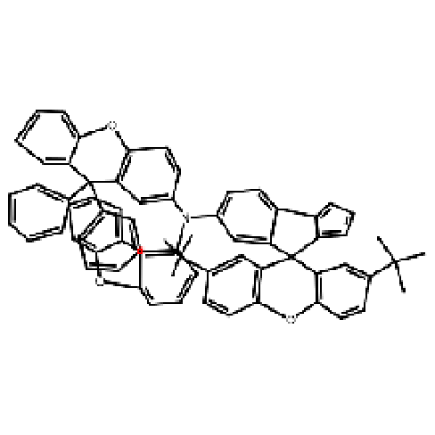 CC(C)(C)c1ccc2c(c1)C1(c3cc(C(C)(C)C)ccc3O2)c2ccccc2-c2ccc(N(c3ccc4c(c3)C(c3ccccc3)(c3ccccc3)c3ccccc3O4)c3cccc4oc5ccccc5c34)cc21